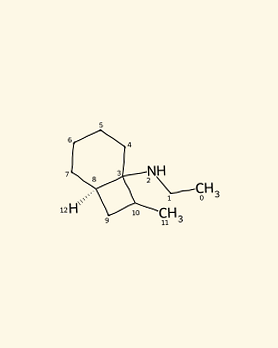 CCNC12CCCC[C@@H]1CC2C